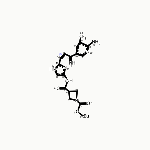 CC(C)(C)OC(=O)N1CC(C(=O)Nc2c[nH]c(/C=C\C(=N)c3cnc(N)c(C(F)(F)F)c3)n2)C1